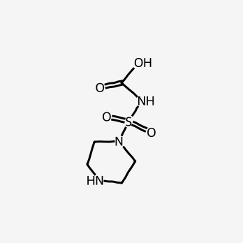 O=C(O)NS(=O)(=O)N1CCNCC1